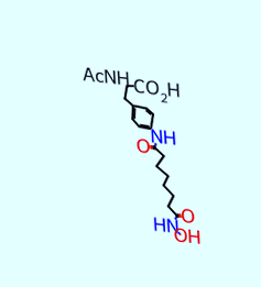 CC(=O)N[C@@H](Cc1ccc(NC(=O)CCCCCCC(=O)NO)cc1)C(=O)O